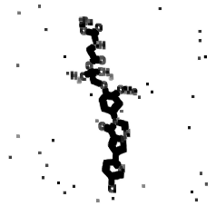 COc1cc(-n2cnn3cc(-c4ccc(Cl)cn4)cc3c2=O)ccc1OCC(C)(C)OC(=O)CNC(=O)OC(C)(C)C